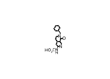 O=C(O)Nc1cc2ccn(Cc3ccccc3)c(=O)c2cn1